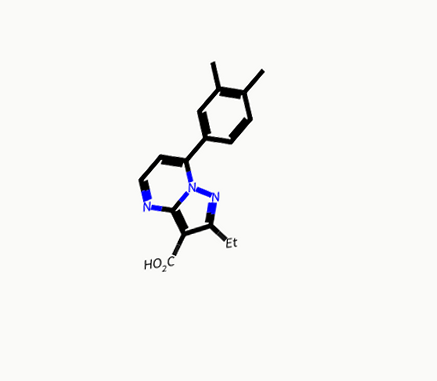 CCc1nn2c(-c3ccc(C)c(C)c3)ccnc2c1C(=O)O